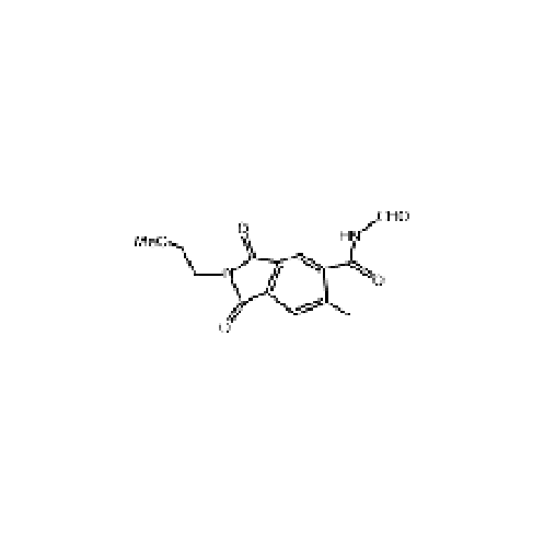 COCCN1C(=O)c2cc(C)c(C(=O)NC=O)cc2C1=O